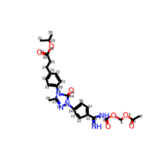 CC(=O)OCOC(=O)NC(=N)c1ccc(-n2nc(C)n(-c3ccc(CCC(=O)OC(C)C)cc3)c2=O)cc1